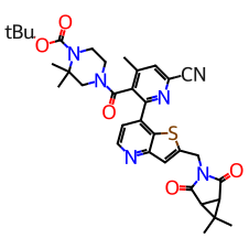 Cc1cc(C#N)nc(-c2ccnc3cc(CN4C(=O)C5C(C4=O)C5(C)C)sc23)c1C(=O)N1CCN(C(=O)OC(C)(C)C)C(C)(C)C1